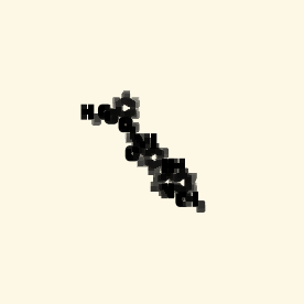 COc1ccccc1OCCNC(=O)c1ccc(Nc2ccnc3c(C)cccc23)cc1